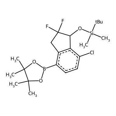 CC1(C)OB(c2ccc(Cl)c3c2CC(F)(F)C3O[Si](C)(C)C(C)(C)C)OC1(C)C